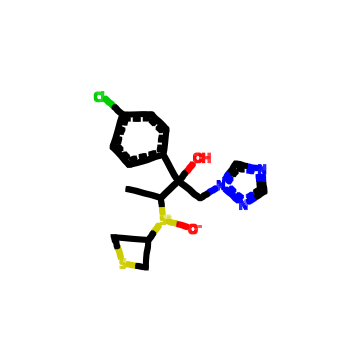 CC([S+]([O-])C1CSC1)C(O)(Cn1cncn1)c1ccc(Cl)cc1